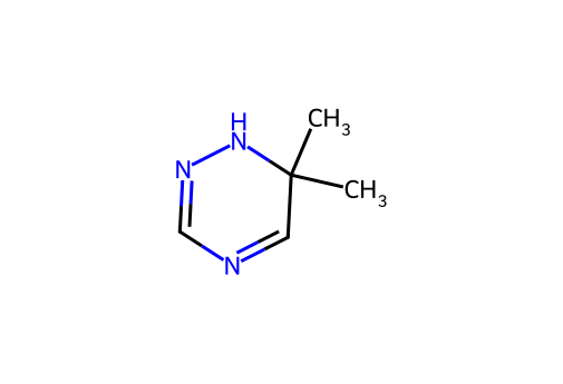 CC1(C)C=NC=NN1